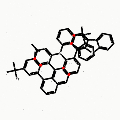 CCC(C)(C)c1cc(-c2cccc3cccc(C4=CCC(C)C=C4N(c4ccccc4-c4cccc5c4sc4ccccc45)c4cccc5c4-c4ccccc4C5(C)C)c23)cc(C(C)(C)C)c1